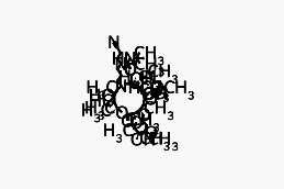 CC[C@H]1OC(=O)[C@H](C)[C@@H](O[C@H]2C[C@@](C)(OC)[C@@H](O)[C@H](C)O2)[C@H](C)[C@@H](O[C@@H]2O[C@H](C)C[C@H](N(C)C)[C@H]2O)[C@](C)(O)C[C@@H](C)CN(CCCN(CCC#N)C(=O)NC(C)C)[C@H](C)[C@@H](O)[C@]1(C)O